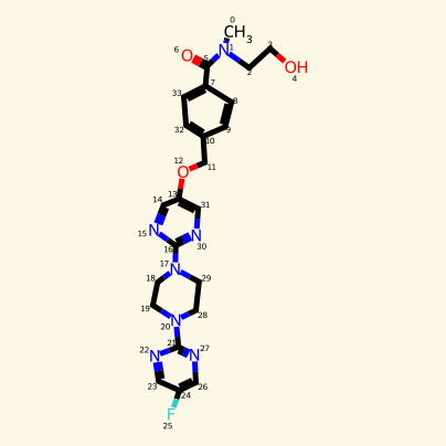 CN(CCO)C(=O)c1ccc(COc2cnc(N3CCN(c4ncc(F)cn4)CC3)nc2)cc1